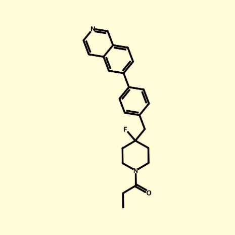 CCC(=O)N1CCC(F)(Cc2ccc(-c3ccc4cnccc4c3)cc2)CC1